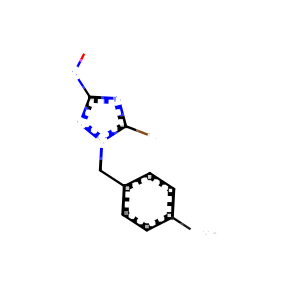 COc1ccc(Cn2nc(NO)nc2Br)cc1